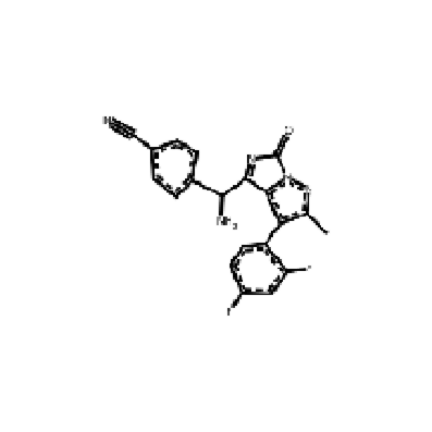 Cc1nn2c(c1-c1ccc(F)cc1F)C(C(N)c1ccc(C#N)cc1)=NC2=O